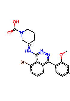 COc1cc(C)ccc1-c1nnc(N[C@@H]2CCCN(C(=O)O)C2)c2c(Br)cccc12